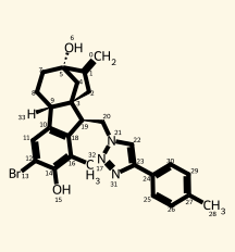 C=C1C[C@]23C[C@@]1(O)CC[C@H]2c1cc(Br)c(O)c(C)c1[C@@H]3Cn1cc(-c2ccc(C)cc2)nn1